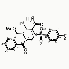 COCCN(CN(C(CC(C)C)C(N)=O)S(=O)(=O)c1ccc(Cl)cc1)C(=O)c1ccccc1